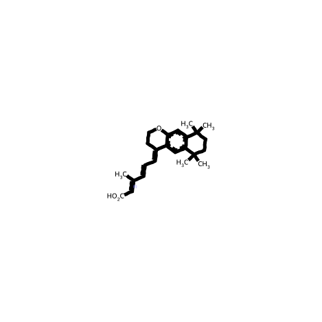 C/C(C=CC=C1CCOc2cc3c(cc21)C(C)(C)CCC3(C)C)=C\C(=O)O